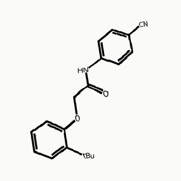 CC(C)(C)c1ccccc1OCC(=O)Nc1ccc(C#N)cc1